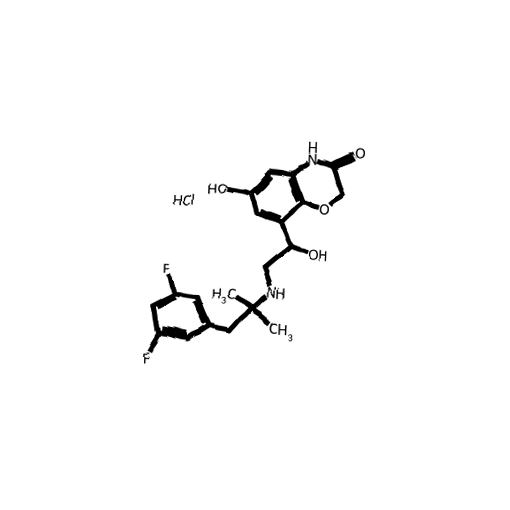 CC(C)(Cc1cc(F)cc(F)c1)NCC(O)c1cc(O)cc2c1OCC(=O)N2.Cl